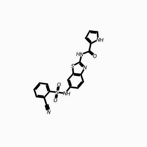 N#Cc1ccccc1S(=O)(=O)Nc1ccc2nc(NC(=O)c3ccc[nH]3)sc2c1